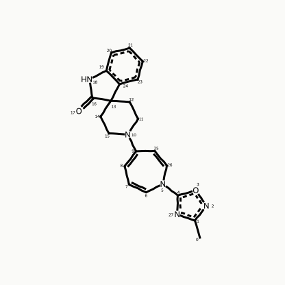 Cc1noc(N2C=CC=C(N3CCC4(CC3)C(=O)Nc3ccccc34)C=C2)n1